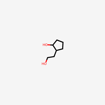 OCCC1CCCC1O